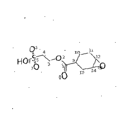 O=C(OCCS(=O)(=O)O)C1CCC2OC2C1